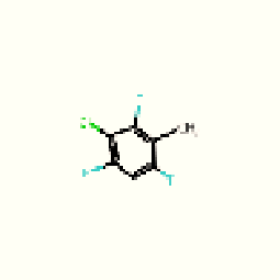 Cc1c(F)cc(F)c(Cl)c1F